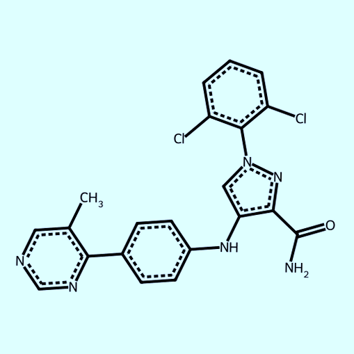 Cc1cncnc1-c1ccc(Nc2cn(-c3c(Cl)cccc3Cl)nc2C(N)=O)cc1